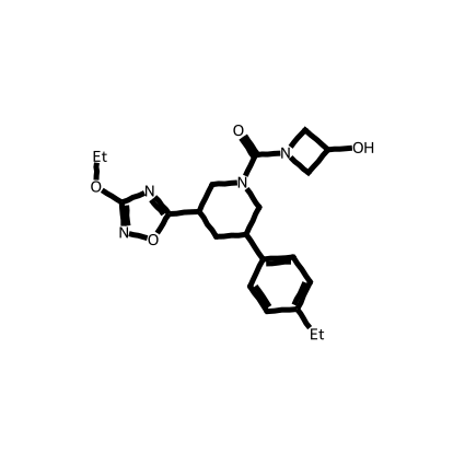 CCOc1noc(C2CC(c3ccc(CC)cc3)CN(C(=O)N3CC(O)C3)C2)n1